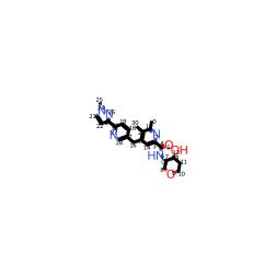 Cc1nc(C(=O)N[C@H]2COCC[C@@H]2O)cc(Cc2ccc(-c3ccn(C)n3)nc2)c1C